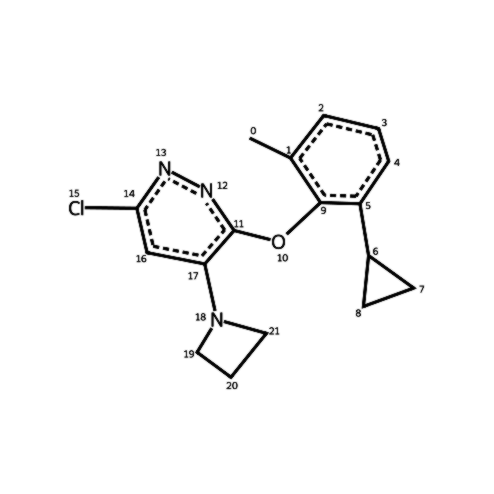 Cc1cccc(C2CC2)c1Oc1nnc(Cl)cc1N1CCC1